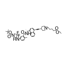 CCOC(=O)CCCCN1CCC(C#Cc2ccc([C@@H](C)NC(=O)c3cc(N[C@@H]4CN(C(=O)OC(C)(C)C)CC4(F)F)ccc3C)c3ccccc23)CC1